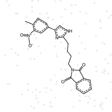 Cc1ccc(-c2c[nH]c(CCCCN3C(=O)c4ccccc4C3=O)n2)cc1[N+](=O)[O-]